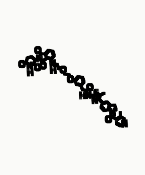 Cc1cnccc1C(=O)N1CCc2cc(-c3nc(NC(=O)Cc4cccc(OCCOCCNc5cccc6c5C(=O)N(C5CCC(=O)NC5=O)C6=O)c4)sc3C)ccc21